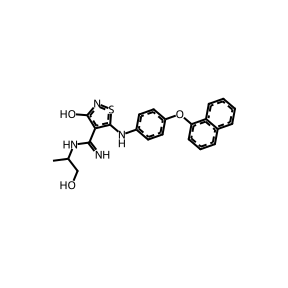 CC(CO)NC(=N)c1c(O)nsc1Nc1ccc(Oc2cccc3ccccc23)cc1